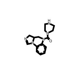 O=C(N1CCNCC1)N1CC2CN=CN2c2ccccc21